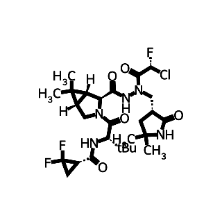 CC1(C)C[C@H](CN(NC(=O)[C@@H]2[C@@H]3[C@H](CN2C(=O)[C@@H](NC(=O)[C@@H]2CC2(F)F)C(C)(C)C)C3(C)C)C(=O)[C@H](F)Cl)C(=O)N1